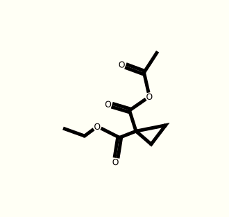 CCOC(=O)C1(C(=O)OC(C)=O)CC1